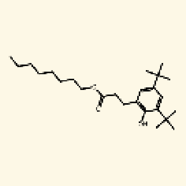 CCCCCCCCOC(=O)CCc1cc(C(C)(C)C)cc(C(C)(C)C)c1O